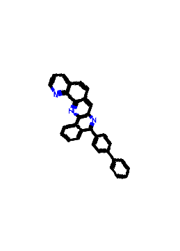 c1ccc(-c2ccc(-c3nc4cc5ccc6cccnc6c5nc4c4ccccc34)cc2)cc1